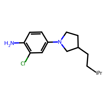 CC(C)CC[C]1CCN(c2ccc(N)c(Cl)c2)C1